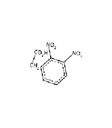 CC(=O)O.O=[N+]([O-])c1ccccc1[N+](=O)[O-]